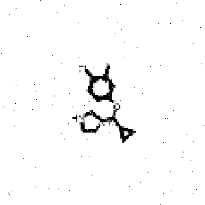 Cc1cc(O[C@@H](C2CC2)[C@H]2CCNC2)ccc1Cl